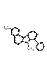 Cc1ccc2c(ccc3c2c2ccnc(-c4ccccc4)c2n3C)c1